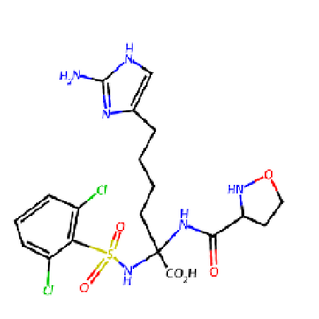 Nc1nc(CCCCC(NC(=O)C2CCON2)(NS(=O)(=O)c2c(Cl)cccc2Cl)C(=O)O)c[nH]1